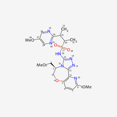 COC[C@@H]1COc2ccc(OC)nc2-c2nnc(NS(=O)(=O)C(C)C(C)c3ncc(OC)cn3)n21